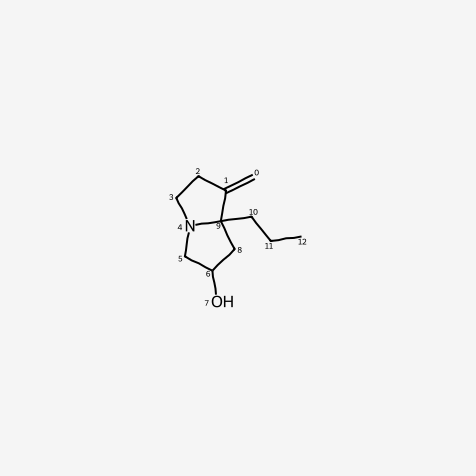 C=C1CCN2CC(O)CC12CCC